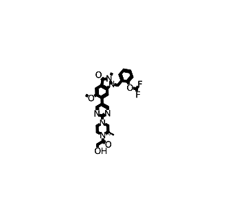 COc1cc2c(=O)n(C)n(Cc3ccccc3OC(F)F)c2cc1-c1cnc(N2CCN(C(=O)CO)[C@H](C)C2)nc1